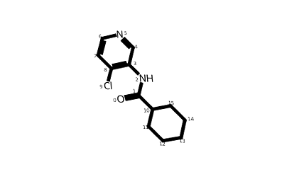 O=C(Nc1cnccc1Cl)C1CCCCC1